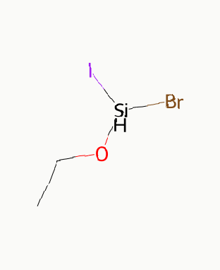 CCO[SiH](Br)I